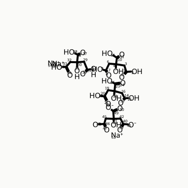 O=C(O)CC(O)(CC(=O)O)C(=O)O.O=C(O)CC(O)(CC(=O)O)C(=O)O.O=C(O)CC(O)(CC(=O)O)C(=O)O.O=C([O-])CC(O)(CC(=O)[O-])C(=O)[O-].[Na+].[Na+].[Na+]